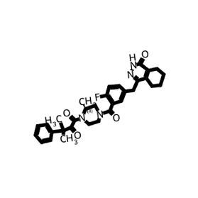 C[C@@H]1CN(C(=O)c2cc(Cc3n[nH]c(=O)c4c3CCCC4)ccc2F)CCN1C(=O)C(=O)C(C)(C)c1ccccc1